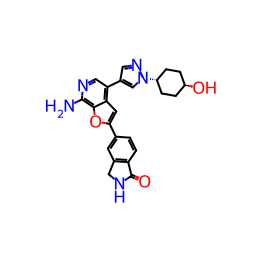 Nc1ncc(-c2cnn([C@H]3CC[C@H](O)CC3)c2)c2cc(-c3ccc4c(c3)CNC4=O)oc12